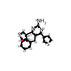 Nc1nc(-c2ccsc2)c(Cc2ccccc2)c(-c2ccsc2)n1